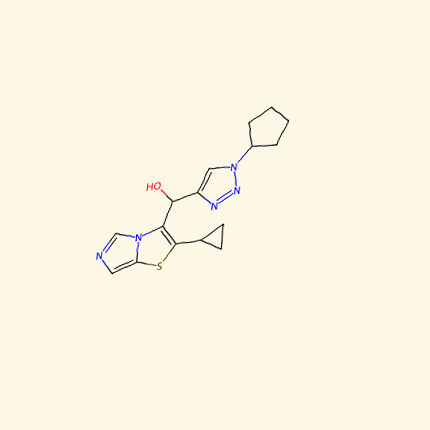 OC(c1cn(C2CCCC2)nn1)c1c(C2CC2)sc2cncn12